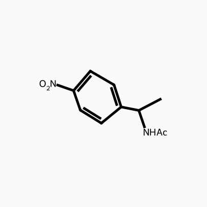 CC(=O)NC(C)c1ccc([N+](=O)[O-])cc1